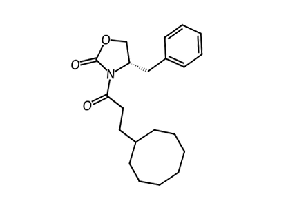 O=C(CCC1CCCCCCC1)N1C(=O)OC[C@@H]1Cc1ccccc1